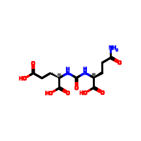 NC(=O)CC[C@H](NC(=O)N[C@@H](CCC(=O)O)C(=O)O)C(=O)O